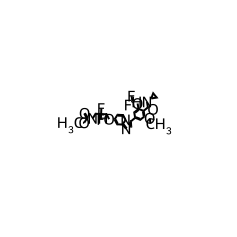 COC(=O)NCC(F)(F)COc1ccn2c(-c3cc(OC)c(C(=O)NC4CC4)c(OC(F)F)c3)cnc2c1